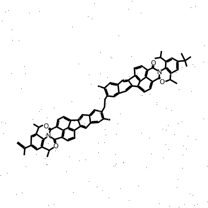 C=C(C)c1cc(C(C)C)c(N2C(=O)c3ccc4c5c(ccc(c35)C2=O)-c2cc3cc(CCc5cc6cc7c(cc6cc5C)-c5ccc6c8c(ccc-7c58)C(=O)N(c5c(C(C)C)cc(C(C)(C)C)cc5C(C)C)C6=O)c(C)cc3cc2-4)c(C(C)C)c1